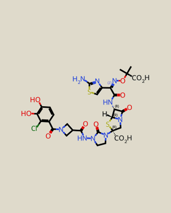 CC(C)(O/N=C(\C(=O)N[C@@H]1C(=O)N2C[C@@](C(=O)O)(N3CCN(NC(=O)C4CN(C(=O)c5ccc(O)c(O)c5Cl)C4)C3=O)S[C@H]12)c1csc(N)n1)C(=O)O